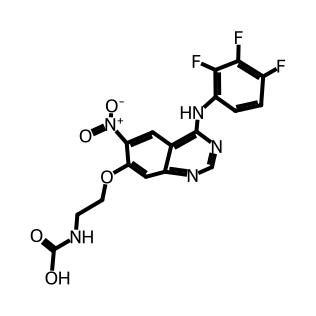 O=C(O)NCCOc1cc2ncnc(Nc3ccc(F)c(F)c3F)c2cc1[N+](=O)[O-]